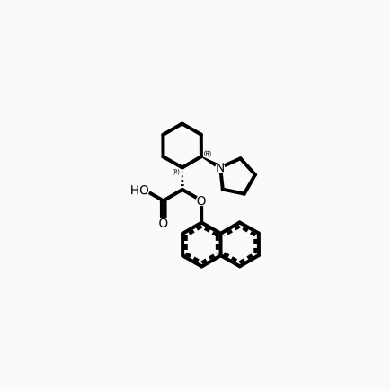 O=C(O)C(Oc1cccc2ccccc12)[C@@H]1CCCC[C@H]1N1CCCC1